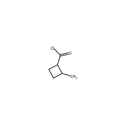 CC1CCC1C(=O)Cl